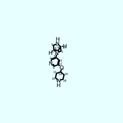 c1ncc(N2C[C@@H]3C[C@H]2CN3)cc1OC1CCNCC1